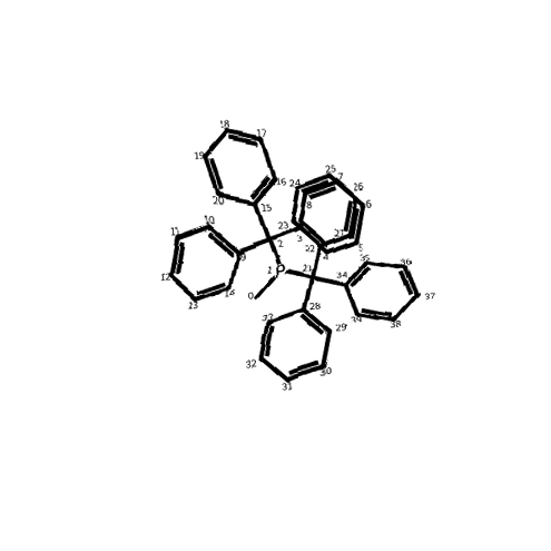 CP(C(c1ccccc1)(c1ccccc1)c1ccccc1)C(c1ccccc1)(c1ccccc1)c1ccccc1